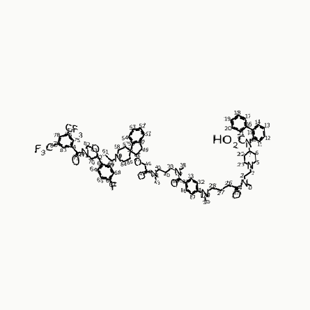 CN(CCN1CCC(N(C(=O)O)c2ccccc2-c2ccccc2)CC1)C(=O)CCCN(C)c1ccc(C(=O)N(C)CCCN(C)C(=O)CO[C@H]2Cc3ccccc3C23CCN(CC[C@]2(c4ccc(F)cc4)CN(C(=O)c4cc(C(F)(F)F)cc(C(F)(F)F)c4)CO2)CC3)cc1